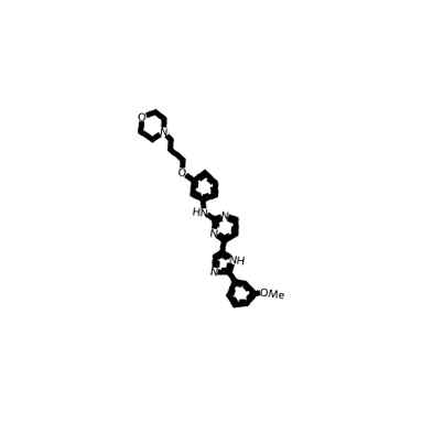 COc1cccc(-c2ncc(-c3ccnc(Nc4cccc(OCCCN5CCOCC5)c4)n3)[nH]2)c1